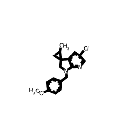 COc1ccc(CN2CC3(CC3C)c3cc(Cl)cnc32)cc1